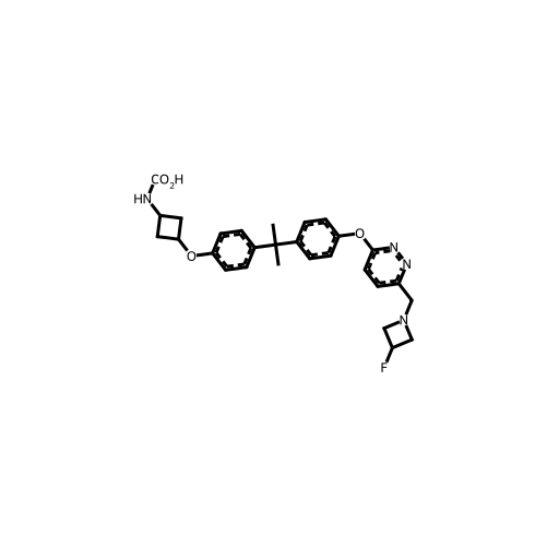 CC(C)(c1ccc(Oc2ccc(CN3CC(F)C3)nn2)cc1)c1ccc(OC2CC(NC(=O)O)C2)cc1